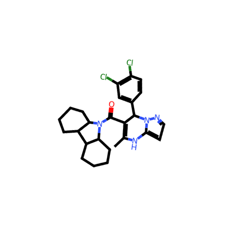 CC1=C(C(=O)N2C3CCCCC3C3CCCCC32)C(c2ccc(Cl)c(Cl)c2)n2nccc2N1